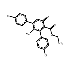 CCOC(=O)c1c(-c2ccc(Cl)cc2)n(C)c(-c2ccc(Cl)cc2)cc1=O